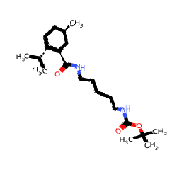 CC(C)[C@@H]1CC[C@@H](C)C[C@H]1C(=O)NCCCCCNC(=O)OC(C)(C)C